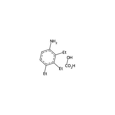 CCc1ccc(N)c(CC)c1CC.O=C(O)O